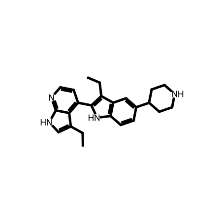 CCc1c(-c2ccnc3[nH]cc(CC)c23)[nH]c2ccc(C3CCNCC3)cc12